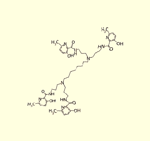 Cc1ccc(O)c(C(=O)NCCCN(CCCCCCCCN(CCCNC(=O)c2nc(C)ccc2O)CCCNC(=O)c2nc(C)ccc2O)CCCNC(=O)c2nc(C)ccc2O)n1